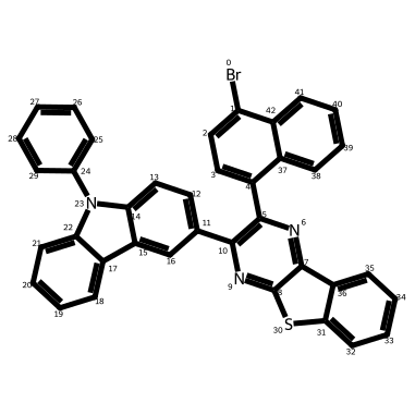 Brc1ccc(-c2nc3c(nc2-c2ccc4c(c2)c2ccccc2n4-c2ccccc2)sc2ccccc23)c2ccccc12